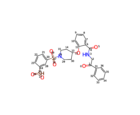 O=C(CNC(=O)c1ccccc1OC1CCN(S(=O)(=O)c2cccc([SH](=O)=O)c2)CC1)c1ccccc1